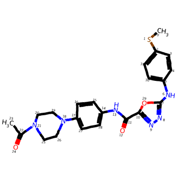 CSc1ccc(Nc2nnc(C(=O)Nc3ccc(N4CCN(C(C)=O)CC4)cc3)o2)cc1